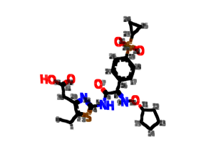 CCc1sc(NC(=O)/C(=N/OC2CCCC2)c2ccc(S(=O)(=O)C3CC3)cc2)nc1CC(=O)O